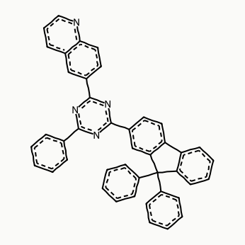 c1ccc(-c2nc(-c3ccc4c(c3)C(c3ccccc3)(c3ccccc3)c3ccccc3-4)nc(-c3ccc4ncccc4c3)n2)cc1